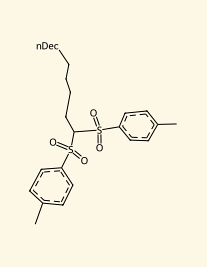 CCCCCCCCCCCCCCC(S(=O)(=O)c1ccc(C)cc1)S(=O)(=O)c1ccc(C)cc1